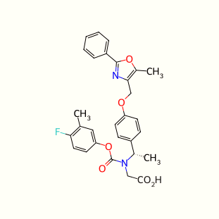 Cc1cc(OC(=O)N(CC(=O)O)[C@@H](C)c2ccc(OCc3nc(-c4ccccc4)oc3C)cc2)ccc1F